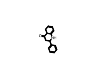 O=C1CC(c2ccccc2)NC2=CC=CCC12